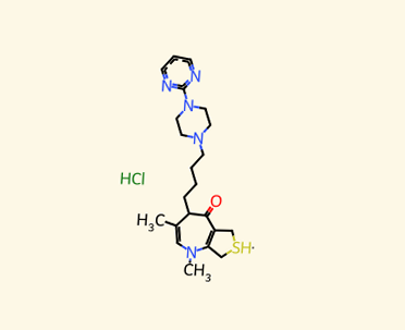 CC1=CN(C)C2=C(C[SH]C2)C(=O)C1CCCCN1CCN(c2ncccn2)CC1.Cl